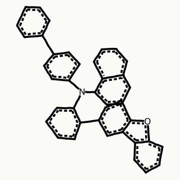 c1ccc(-c2ccc(N(c3ccccc3-c3ccc4oc5ccccc5c4c3)c3cccc4ccccc34)cc2)cc1